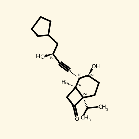 CC(C)[C@@]12CC[C@H](O)[C@@H](C#C[C@@H](O)CC3CCCC3)[C@@H]1CC2=O